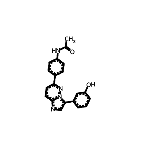 CC(=O)Nc1ccc(-c2ccc3ncc(-c4cccc(O)c4)n3n2)cc1